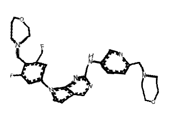 Fc1cc(-n2ccc3cnc(Nc4ccc(CN5CCOCC5)nc4)nc32)cc(F)c1CN1CCOCC1